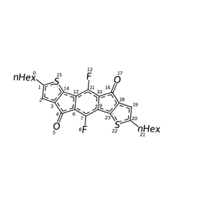 CCCCCCc1cc2c(=O)c3c(F)c4c(c(F)c3c2s1)c(=O)c1cc(CCCCCC)sc14